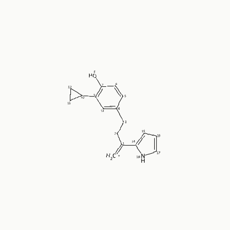 C=C(CCc1ccc(O)c(C2CC2)c1)c1ccc[nH]1